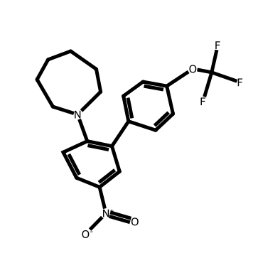 O=[N+]([O-])c1ccc(N2CCCCCC2)c(-c2ccc(OC(F)(F)F)cc2)c1